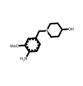 COc1cc(CN2CCC(O)CC2)ccc1N